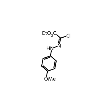 CCOC(=O)/C(Cl)=N\Nc1ccc(OC)cc1